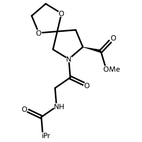 COC(=O)[C@@H]1CC2(CN1C(=O)CNC(=O)C(C)C)OCCO2